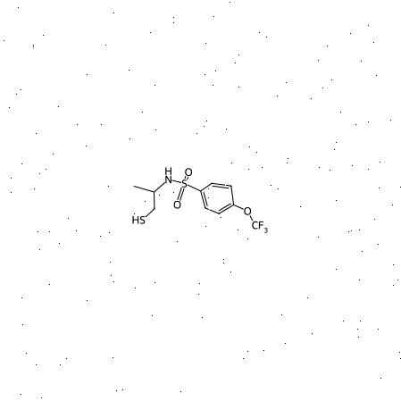 CC(CS)NS(=O)(=O)c1ccc(OC(F)(F)F)cc1